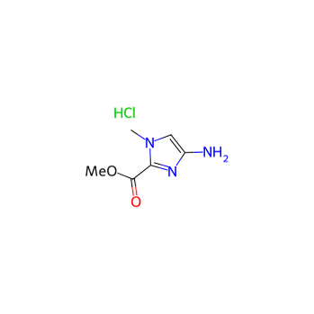 COC(=O)c1nc(N)cn1C.Cl